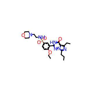 CCCc1nc(CC)c2c(=O)[nH]c(-c3cc(S(=O)(=O)NCCN4CCOCC4)ccc3OCC)nn12